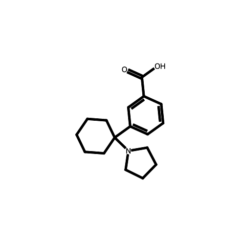 O=C(O)c1cccc(C2(N3CCCC3)CCCCC2)c1